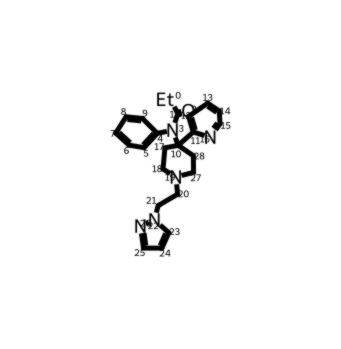 CCC(=O)N(c1ccccc1)C1(c2ccccn2)CCN(CCn2cccn2)CC1